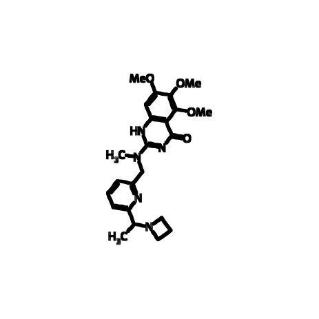 COc1cc2[nH]c(N(C)Cc3cccc(C(C)N4CCC4)n3)nc(=O)c2c(OC)c1OC